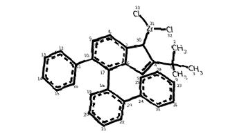 CC(C)(C)C1=Cc2c(ccc(-c3ccccc3)c2-c2ccccc2-c2ccccc2)[CH]1[Zr]([Cl])[Cl]